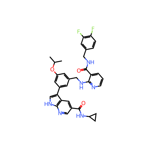 CC(C)Oc1cc(CNc2ncccc2C(=O)NCc2ccc(F)c(F)c2)cc(-c2c[nH]c3ncc(C(=O)NC4CC4)cc23)c1